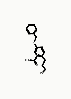 NC(=O)c1cc(OCc2ccccc2)ccc1C[CH]CO